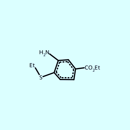 CCOC(=O)c1ccc(SCC)c(N)c1